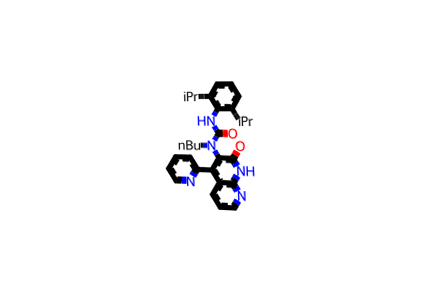 CCCCN(C(=O)Nc1c(C(C)C)cccc1C(C)C)c1c(-c2ccccn2)c2cccnc2[nH]c1=O